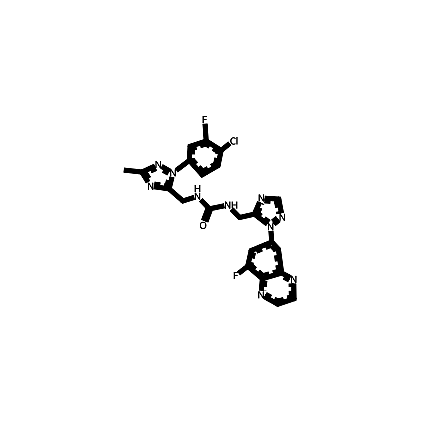 Cc1nc(CNC(=O)NCc2ncnn2-c2cc(F)c3nccnc3c2)n(-c2ccc(Cl)c(F)c2)n1